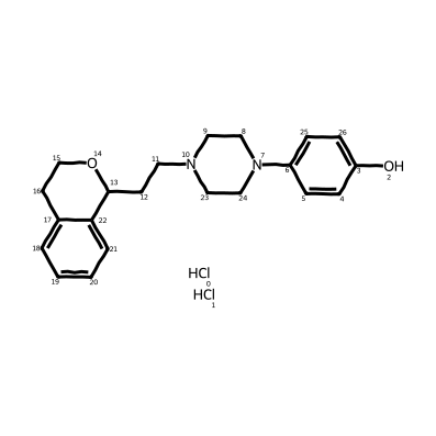 Cl.Cl.Oc1ccc(N2CCN(CCC3OCCc4ccccc43)CC2)cc1